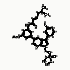 CCOP(=O)(OCC)OCn1cc(-c2ccnc(F)c2)c2cc(-c3cc(NC(=O)C=CCN(C)C)cc(OC)c3)cnc21